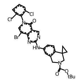 CC(C)(C)OC(=O)N1Cc2cc(Nc3ncc4c(=O)n(-c5c(Cl)cccc5Cl)cc(Br)c4n3)ccc2C2(CC2)C1